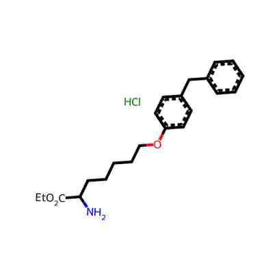 CCOC(=O)C(N)CCCCCOc1ccc(Cc2ccccc2)cc1.Cl